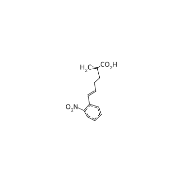 C=C(CCC=Cc1ccccc1[N+](=O)[O-])C(=O)O